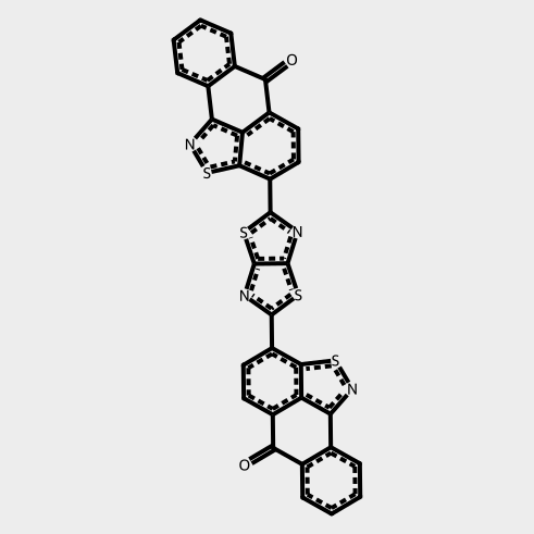 O=C1c2ccccc2-c2nsc3c(-c4nc5sc(-c6ccc7c8c(nsc68)-c6ccccc6C7=O)nc5s4)ccc1c23